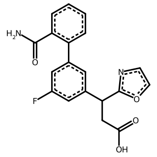 NC(=O)c1ccccc1-c1cc(F)cc(C(CC(=O)O)c2ncco2)c1